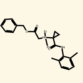 CC[PH](CC)(CC(=O)OCc1ccccc1)C1(C(=O)Nc2c(C)cccc2C)CC1